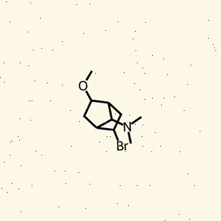 COC1CC2C(Br)CC1C2N(C)C